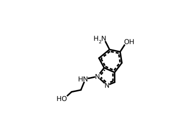 Nc1cc2c(cnn2NCCO)cc1O